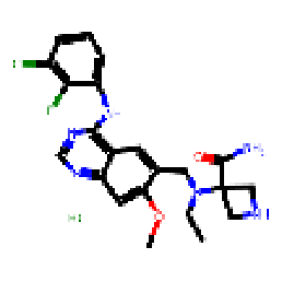 CCN(Cc1cc2c(Nc3cccc(Cl)c3F)ncnc2cc1OC)C1(C(N)=O)CNC1.Cl